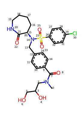 CN(CC(O)CO)C(=O)c1ccc(CN([C@@H]2CCCCNC2=O)S(=O)(=O)c2ccc(Cl)cc2)cc1